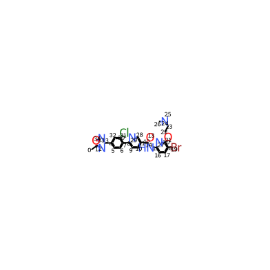 Cc1nc(-c2ccc(-c3ccc(C(=O)Nc4ccc(Br)c(OCCN(C)C)n4)cn3)c(Cl)c2)no1